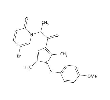 COc1ccc(Cn2c(C)cc(C(=O)C(C)n3cc(Br)ccc3=O)c2C)cc1